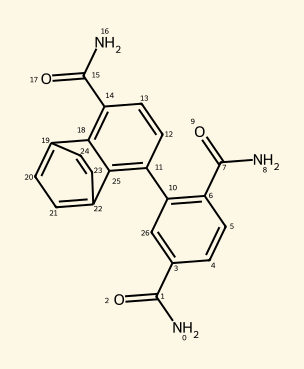 NC(=O)c1ccc(C(N)=O)c(-c2ccc(C(N)=O)c3c4ccc(cc4)c23)c1